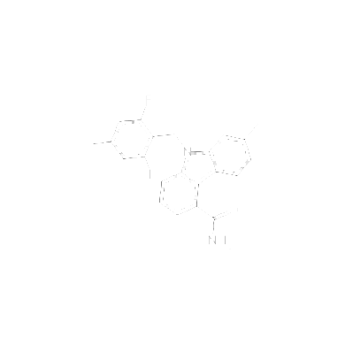 Cc1c[c]c2c3c(C(N)=O)cccc3n(Cc3c(F)cc(F)cc3F)c2c1